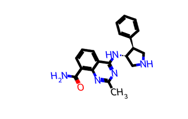 Cc1nc(N[C@H]2CNC[C@@H]2c2ccccc2)c2cccc(C(N)=O)c2n1